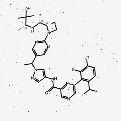 CC(c1cnc(N2CC[C@H]2[C@@H](C)N[C@H](C)C(C)(C)O)nc1)n1cc(NC(=O)c2cncc(-c3c(C(F)F)ccc(Cl)c3F)n2)cn1